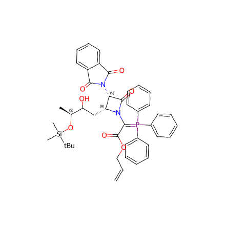 C=CCOC(=O)C(N1C(=O)[C@@H](N2C(=O)c3ccccc3C2=O)[C@H]1CC(O)[C@H](C)O[Si](C)(C)C(C)(C)C)=P(c1ccccc1)(c1ccccc1)c1ccccc1